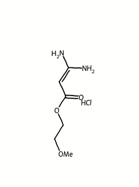 COCCOC(=O)C=C(N)N.Cl